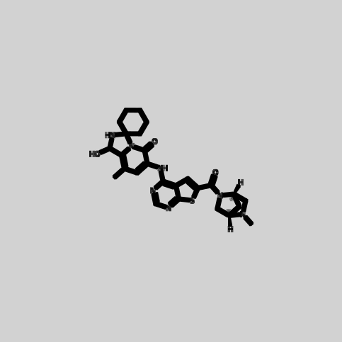 Cc1cc(Nc2ncnc3sc(C(=O)N4C[C@@H]5C[C@H]4CN5C)cc23)c(=O)n2c1C(O)NC21CCCCC1